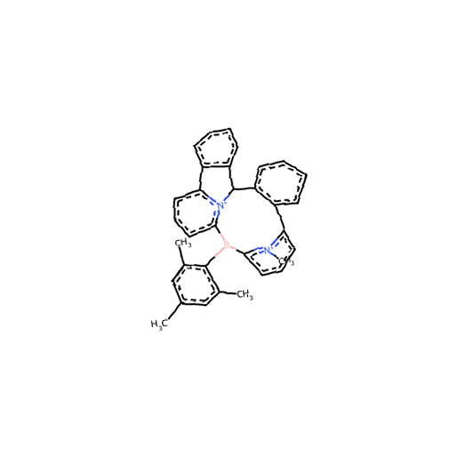 Cc1cc(C)c(B2c3cccc([n+]3C)-c3ccccc3C3c4ccccc4-c4cccc2[n+]43)c(C)c1